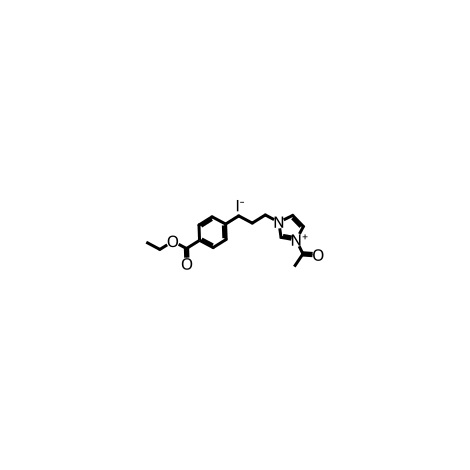 CCOC(=O)c1ccc(CCCn2cc[n+](C(C)=O)c2)cc1.[I-]